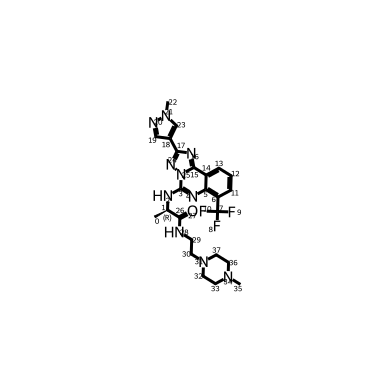 C[C@@H](Nc1nc2c(C(F)(F)F)cccc2c2nc(-c3cnn(C)c3)nn12)C(=O)NCCN1CCN(C)CC1